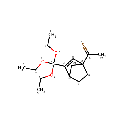 CCO[Si](OCC)(OCC)C1=CC2(C(C)=S)CCC1C2